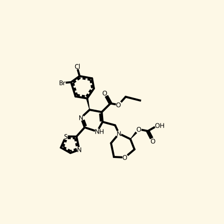 CCOC(=O)C1=C(CN2CCOC[C@@H]2OC(=O)O)NC(c2nccs2)=N[C@H]1c1ccc(Cl)c(Br)c1